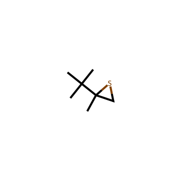 CC(C)(C)C1(C)CS1